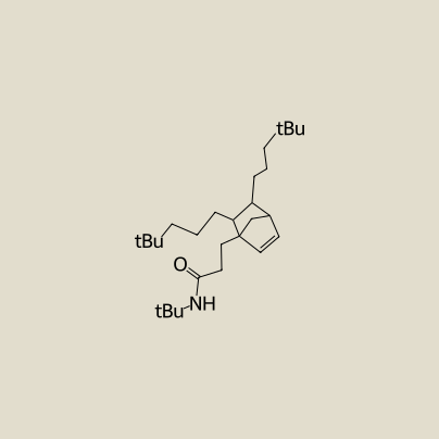 CC(C)(C)CCCC1C2C=CC(CCC(=O)NC(C)(C)C)(C2)C1CCCC(C)(C)C